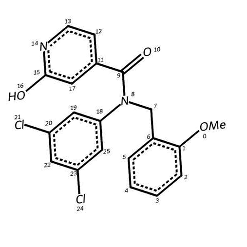 COc1ccccc1CN(C(=O)c1ccnc(O)c1)c1cc(Cl)cc(Cl)c1